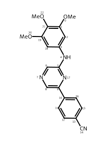 COc1cc(Nc2cncc(-c3ccc(C#N)cc3)n2)cc(OC)c1OC